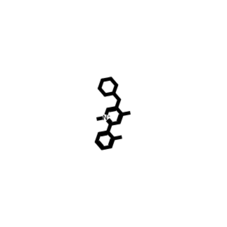 Cc1cc(-c2ccccc2C)[n+](C)cc1CC1CCCCC1